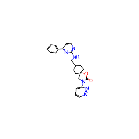 O=C1OC2(CCC(CNc3nccc(-c4ccccc4)n3)CC2)CN1c1cccnn1